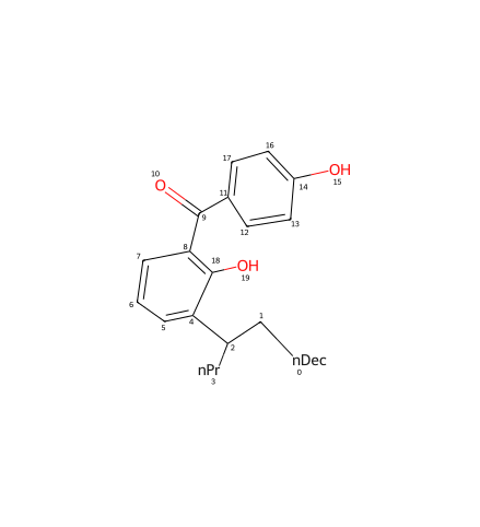 CCCCCCCCCCCC(CCC)c1cccc(C(=O)c2ccc(O)cc2)c1O